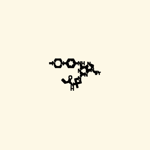 C=CC(=O)NC1(C)CN(c2nc(Nc3ccc(N4CCN(C)CC4)cc3)c3ncn(C(C)C)c3n2)C1